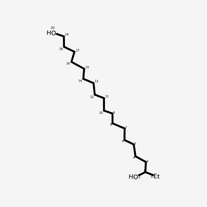 CCC(O)CCCCCCCCCCCCCCCCCO